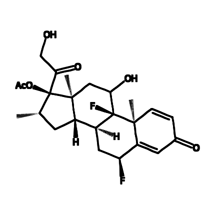 CC(=O)O[C@]1(C(=O)CO)[C@@H](C)C[C@H]2[C@@H]3C[C@H](F)C4=CC(=O)C=C[C@]4(C)[C@@]3(F)C(O)C[C@@]21C